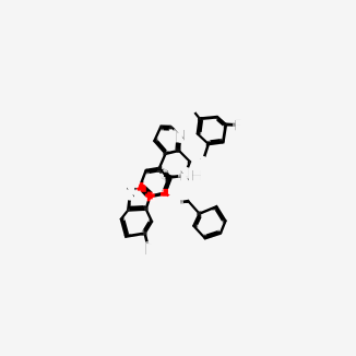 O=C(Cc1c[nH]c2ccc(F)cc12)N[C@@H](Cc1cc(F)cc(F)c1)c1ncccc1-c1cccc(OCc2ccccc2)c1